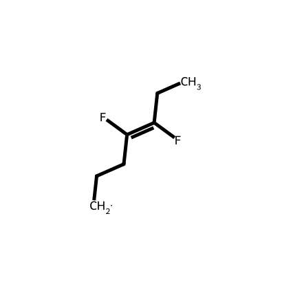 [CH2]CCC(F)=C(F)CC